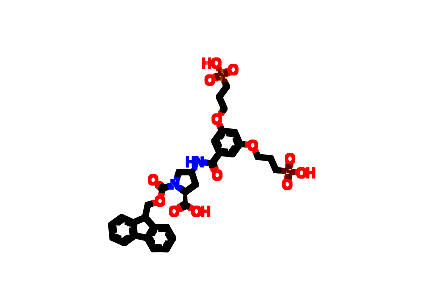 O=C(N[C@H]1C[C@@H](C(=O)O)N(C(=O)OCC2c3ccccc3-c3ccccc32)C1)c1cc(OCCCS(=O)(=O)O)cc(OCCCS(=O)(=O)O)c1